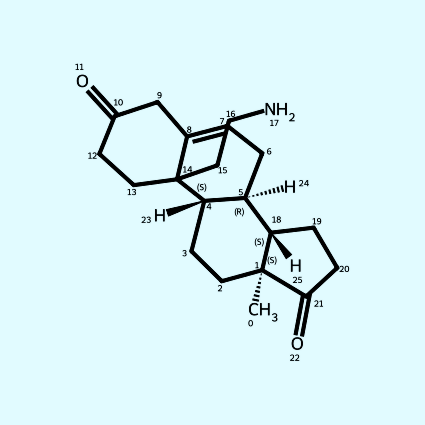 C[C@]12CC[C@H]3[C@@H](CC=C4CC(=O)CCC43CCN)[C@@H]1CCC2=O